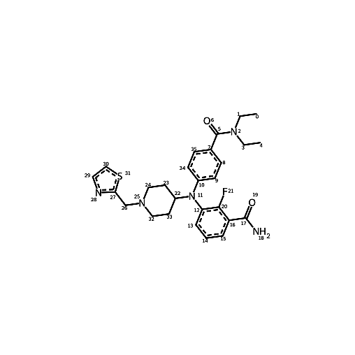 CCN(CC)C(=O)c1ccc(N(c2cccc(C(N)=O)c2F)C2CCN(Cc3nccs3)CC2)cc1